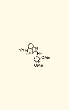 CCCN(CCC)c1cccc2nc(Nc3ccc(OC)nc3OC)n(C)c12